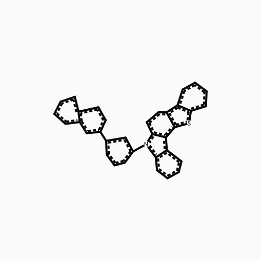 c1cc(-c2ccc3ccccc3c2)cc(-n2c3ccccc3c3c4sc5ccccc5c4ccc32)c1